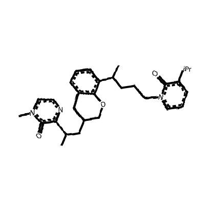 CC(C)c1cccn(CCCC(C)c2cccc3c2OCC(CC(C)c2nccn(C)c2=O)C3)c1=O